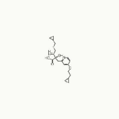 NC(CSCC1CC1)C(O)(Cc1cc(OCCC2CC2)ccn1)C(=O)O